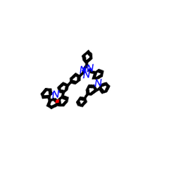 c1ccc(-c2ccc3c(c2)c2ccccc2n3-c2cccc(-c3nc(-c4ccccc4)nc(-c4ccc(-c5ccc(-n6c7ccccc7c7ccccc76)c(-c6ccccc6)c5)cc4)n3)c2)cc1